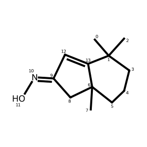 CC1(C)CCCC2(C)C/C(=N\O)C=C12